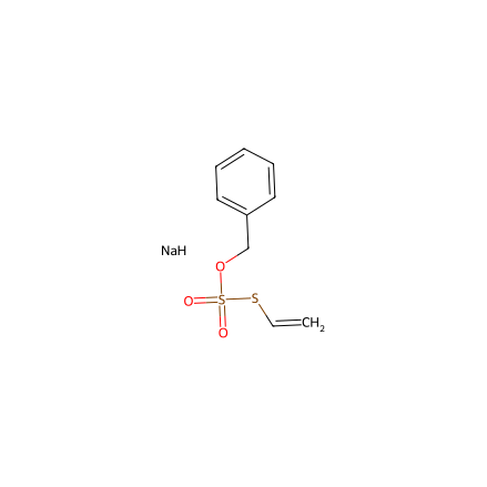 C=CSS(=O)(=O)OCc1ccccc1.[NaH]